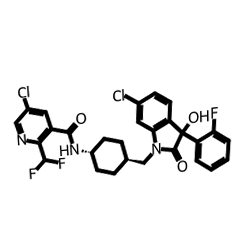 O=C(N[C@H]1CC[C@H](CN2C(=O)C(O)(c3ccccc3F)c3ccc(Cl)cc32)CC1)c1cc(Cl)cnc1C(F)F